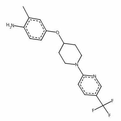 Cc1cc(OC2CCN(c3ccc(C(F)(F)F)cn3)CC2)ccc1N